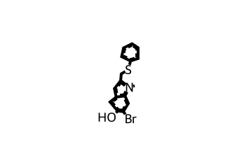 Cn1c(CSc2ccccc2)cc2cc(O)c(Br)cc21